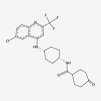 O=C1CCC(C(=O)N[C@H]2CC[C@@H](Nc3cc(C(F)(F)F)nc4ccc(Cl)cc34)CC2)CC1